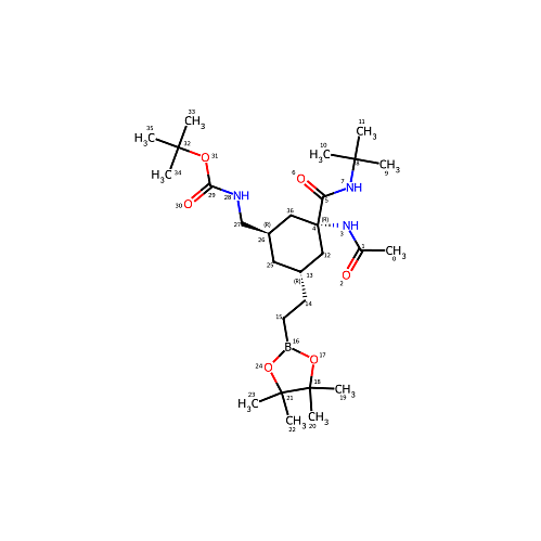 CC(=O)N[C@]1(C(=O)NC(C)(C)C)C[C@H](CCB2OC(C)(C)C(C)(C)O2)C[C@@H](CNC(=O)OC(C)(C)C)C1